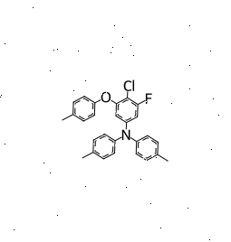 Cc1ccc(Oc2cc(N(c3ccc(C)cc3)c3ccc(C)cc3)cc(F)c2Cl)cc1